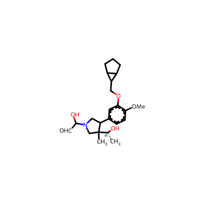 COc1ccc(C2CN(C(O)C=O)CC2(C)[C@@H](C)O)cc1OCC1C2CCCC21